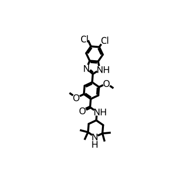 COc1cc(-c2nc3cc(Cl)c(Cl)cc3[nH]2)c(OC)cc1C(=O)NC1CC(C)(C)NC(C)(C)C1